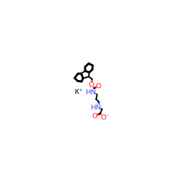 O=C([O-])CNCCCNC(=O)OCC1c2ccccc2-c2ccccc21.[K+]